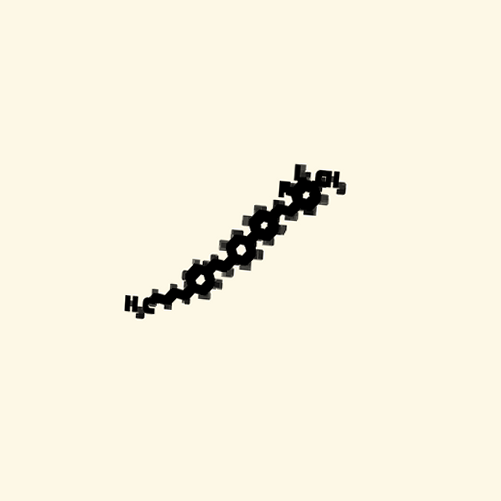 CCCCCC1C=CC(/C=C/C2CCC(c3ccc(CCc4ccc(C)c(F)c4F)cc3)CC2)CC1